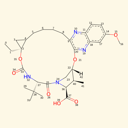 CC[C@]12CC1CCCCc1nc3ccc(OC)cc3nc1O[C@H]1CN(C(=O)[C@H](C(C)(C)C)NC(=O)O2)[C@H](C(=O)O)[C@@H]1C